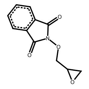 O=C1c2ccccc2C(=O)N1OCC1CO1